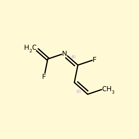 C=C(F)/N=C(F)\C=C/C